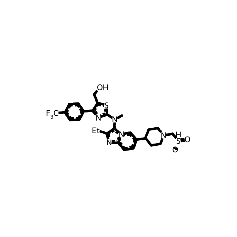 CCc1nc2ccc(C3CCN(C[SH](=O)=O)CC3)cn2c1N(C)c1nc(-c2ccc(C(F)(F)F)cc2)c(CO)s1